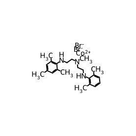 Cc1cc(C)c(NCCN(C)CCNc2c(C)cccc2C)c(C)c1.[Br-].[Br-].[Co+2]